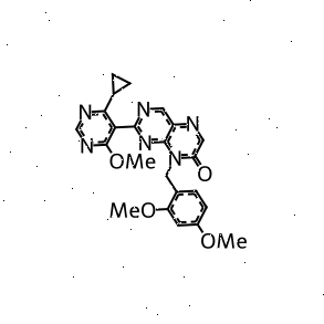 COc1ccc(Cn2c(=O)cnc3cnc(-c4c(OC)ncnc4C4CC4)nc32)c(OC)c1